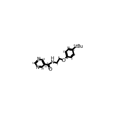 CC(C)(C)c1ccc(OCCNC(=O)c2cncnc2)cc1